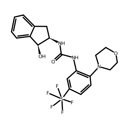 O=C(Nc1cc(S(F)(F)(F)(F)F)ccc1N1CCOCC1)N[C@@H]1Cc2ccccc2[C@@H]1O